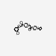 COc1cccc(OCC(=O)N2CCN(CC(=O)N3CCN(C4CCC4)CC3)CC2)c1